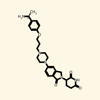 C[C@H](N)c1ccc(OCCCN2CCN(c3ccc4c(c3)CN(C3CCC(=O)NC3=O)C4=O)CC2)cc1